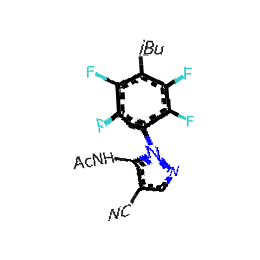 CCC(C)c1c(F)c(F)c(-n2ncc(C#N)c2NC(C)=O)c(F)c1F